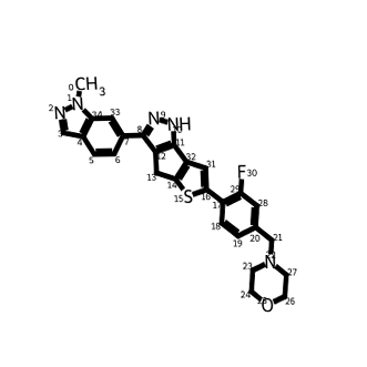 Cn1ncc2ccc(-c3n[nH]c4c3Cc3sc(-c5ccc(CN6CCOCC6)cc5F)cc3-4)cc21